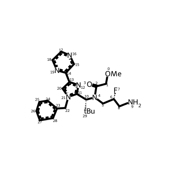 COCC(=O)N(C[C@H](F)CN)[C@@H](c1nc(-c2cnccn2)cn1Cc1ccccc1)C(C)(C)C